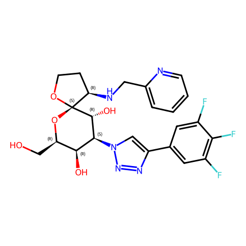 OC[C@H]1O[C@]2(OCC[C@H]2NCc2ccccn2)[C@H](O)[C@@H](n2cc(-c3cc(F)c(F)c(F)c3)nn2)[C@H]1O